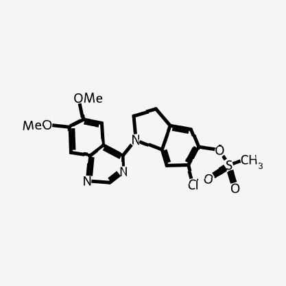 COc1cc2ncnc(N3CCc4cc(OS(C)(=O)=O)c(Cl)cc43)c2cc1OC